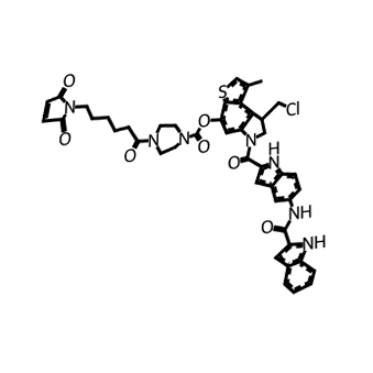 Cc1csc2c(OC(=O)N3CCN(C(=O)CCCCCN4C(=O)C=CC4=O)CC3)cc3c(c12)C(CCl)CN3C(=O)c1cc2cc(NC(=O)c3cc4ccccc4[nH]3)ccc2[nH]1